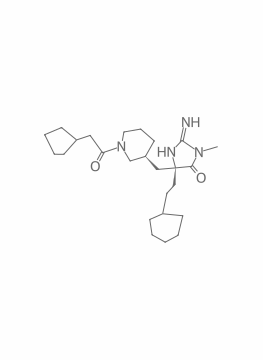 CN1C(=N)N[C@@](CCC2CCCCC2)(C[C@@H]2CCCN(C(=O)CC3CCCC3)C2)C1=O